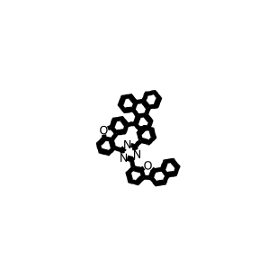 C1=Cc2c(c3ccccc3c3c(-c4ccc5oc6cccc(-c7nc(-c8ccccc8)nc(-c8cccc9c8oc8c%10ccccc%10ccc98)n7)c6c5c4)cccc23)CC1